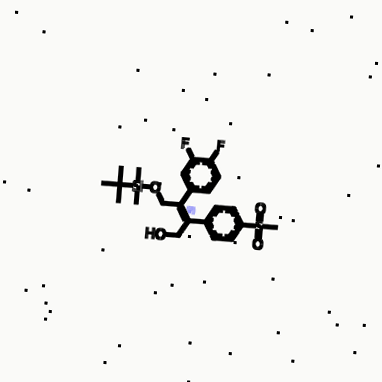 CC(C)(C)[Si](C)(C)OC/C(=C(\CO)c1ccc(S(C)(=O)=O)cc1)c1ccc(F)c(F)c1